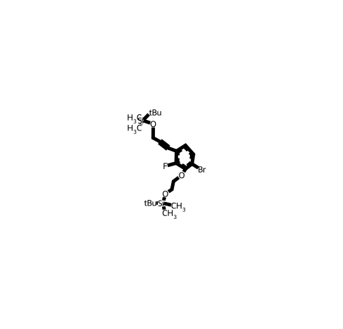 CC(C)(C)[Si](C)(C)OCC#Cc1ccc(Br)c(OCCO[Si](C)(C)C(C)(C)C)c1F